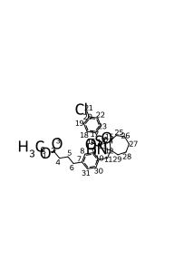 COC(=O)CCCc1ccc(CC2(NS(=O)(=O)c3ccc(Cl)cc3)CCCCCC2)cc1